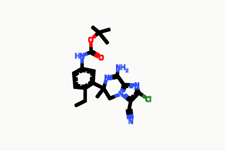 CCc1ccc(NC(=O)OC(C)(C)C)cc1C1(C)Cn2c(nc(Cl)c2C#N)C(N)=N1